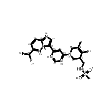 CC1=C(F)C(CNS(C)(=O)=O)CN(c2cc(-c3cnc4ccc(C(F)F)nn34)ncn2)C1